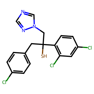 SC(Cc1ccc(Cl)cc1)(Cn1cncn1)c1ccc(Cl)cc1Cl